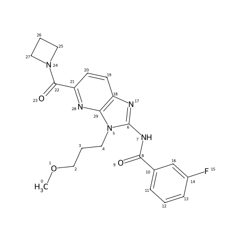 COCCCn1c(NC(=O)c2cccc(F)c2)nc2ccc(C(=O)N3CCC3)nc21